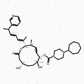 C/C(=C\C=C\C(C)c1cccnc1)[C@H]1OC(=O)C[C@@H](O)CC[C@](C)(O)[C@@H](OC(=O)N2CCN(C3CCCCCC3)CC2)/C=C/[C@@H]1C